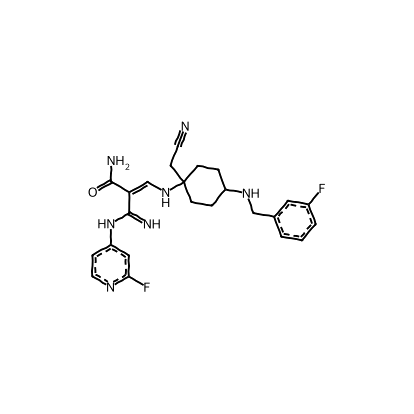 N#CCC1(N/C=C(\C(=N)Nc2ccnc(F)c2)C(N)=O)CCC(NCc2cccc(F)c2)CC1